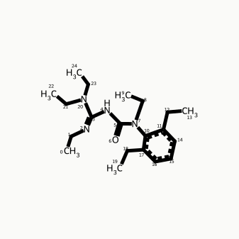 CCN=C(NC(=O)N(CC)c1c(CC)cccc1CC)N(CC)CC